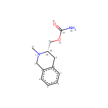 CN1Cc2ccccc2C[C@H]1COC(N)=O